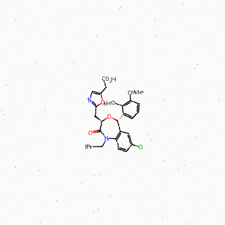 COc1cccc([C@H]2O[C@H](Cc3ncc(CC(=O)O)o3)C(=O)N(CC(C)C)c3ccc(Cl)cc32)c1OC